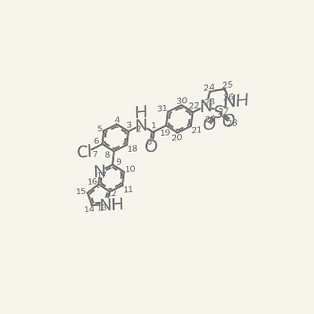 O=C(Nc1ccc(Cl)c(-c2ccc3[nH]ccc3n2)c1)c1ccc(N2CCNS2(=O)=O)cc1